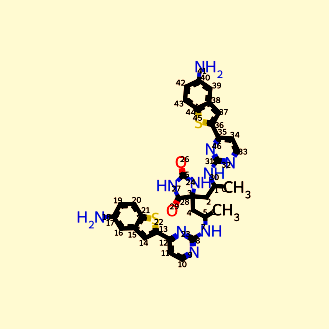 CC(CC1(CC(C)Nc2nccc(-c3cc4cc(N)ccc4s3)n2)NC(=O)NC1=O)Nc1nccc(-c2cc3cc(N)ccc3s2)n1